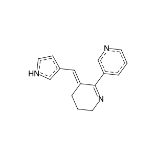 C(=C1CCCN=C1c1cccnc1)c1cc[nH]c1